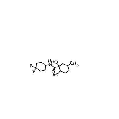 CC1CCC(C(C)C)C(O)(C(=O)NC2CCC(F)(F)CC2)C1